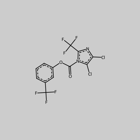 O=C(Oc1cccc(C(F)(F)F)c1)n1c(C(F)(F)F)nc(Cl)c1Cl